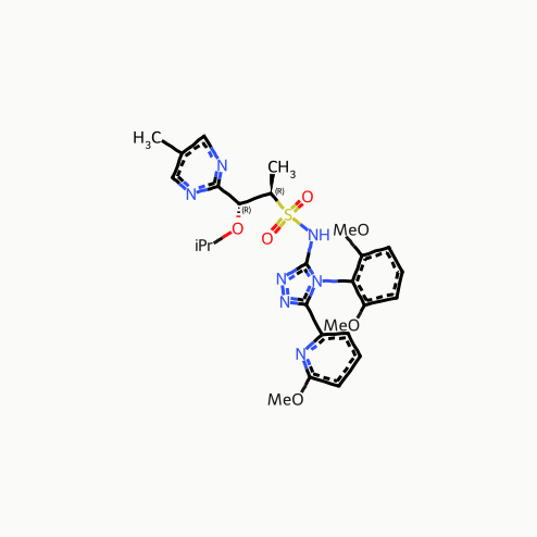 COc1cccc(-c2nnc(NS(=O)(=O)[C@H](C)[C@H](OC(C)C)c3ncc(C)cn3)n2-c2c(OC)cccc2OC)n1